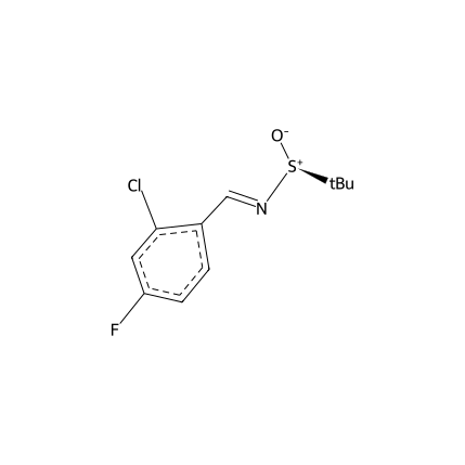 CC(C)(C)[S@+]([O-])/N=C/c1ccc(F)cc1Cl